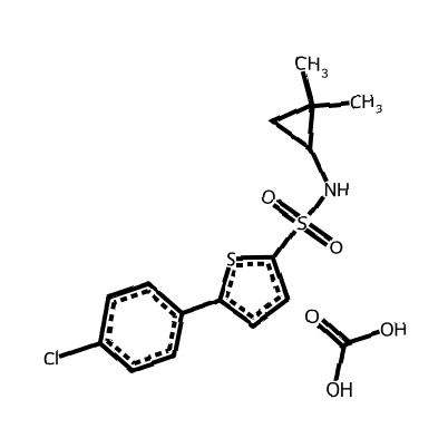 CC1(C)CC1NS(=O)(=O)c1ccc(-c2ccc(Cl)cc2)s1.O=C(O)O